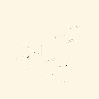 COc1cc(OC)c2c(=O)cc(-c3ccc([N+](=O)[O-])cc3Br)oc2c1C1CCN(C)[C@@H]1CO